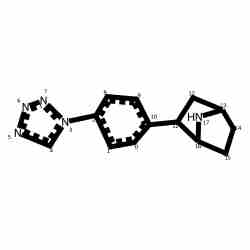 c1cc(-n2cnnn2)ccc1C1CC2CCC1N2